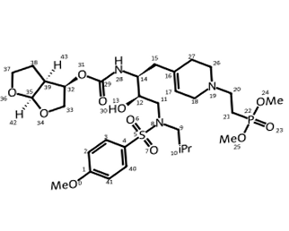 COc1ccc(S(=O)(=O)N(CC(C)C)C[C@@H](O)[C@H](CC2=CCN(CCP(=O)(OC)OC)CC2)NC(=O)O[C@H]2CO[C@H]3OCC[C@H]32)cc1